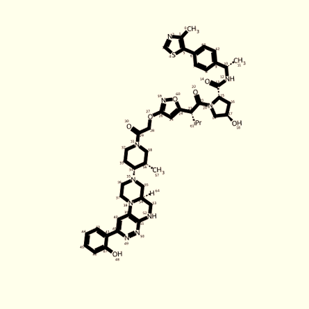 Cc1ncsc1-c1ccc([C@H](C)NC(=O)[C@@H]2C[C@@H](O)CN2C(=O)[C@@H](c2cc(OCC(=O)N3CC[C@@H](N4CCN5c6cc(-c7ccccc7O)nnc6NC[C@@H]5C4)[C@@H](C)C3)no2)C(C)C)cc1